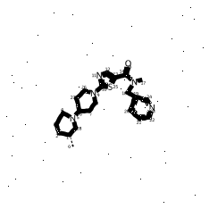 C[C@@H]1CCCN(C2CCN(c3ncc(C(=O)N(C)Cc4cccnc4)s3)CC2)C1